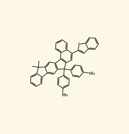 CC(C)(C)c1ccc(C2(c3ccc(C(C)(C)C)cc3)c3cc4c(cc3-c3c2cc(-c2cc5ccccc5s2)c2ccccc32)C(C)(C)c2ccccc2-4)cc1